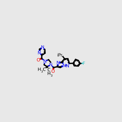 CC(C)c1cc(-c2ccc(F)cc2)nn2cc(C(=O)N3CCN(C(=O)c4ccncn4)CC3(C)C)nc12